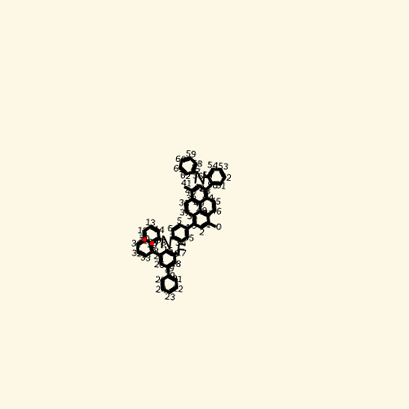 Cc1cc(-c2ccc(N(c3ccccc3)c3c(F)cc(-c4ccccc4)cc3-c3ccccc3)cc2)c2ccc3c(C)c4c(c5ccc1c2c35)c1ccccc1n4-c1ccccc1